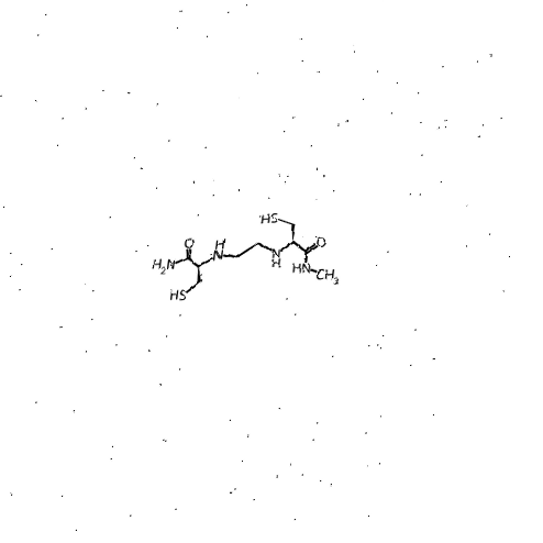 CNC(=O)[C@H](CS)NCCN[C@@H](CS)C(N)=O